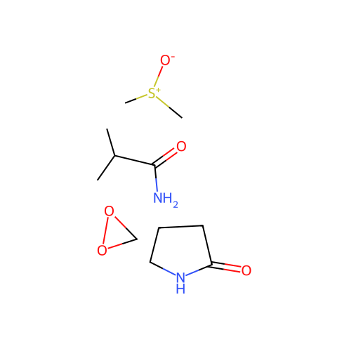 C1OO1.CC(C)C(N)=O.C[S+](C)[O-].O=C1CCCN1